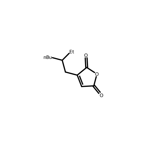 CCCCC(CC)CC1=CC(=O)OC1=O